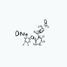 COc1cc(C)ccc1Oc1ccccc1C(C)OC[C@H]1CO1